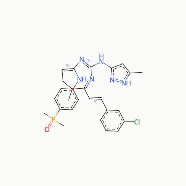 Cc1cc(NC2=N/C(Nc3ccc(P(C)(C)=O)cc3)=C/CC(C)C(/C=C/c3cccc(Cl)c3)=N\2)n[nH]1